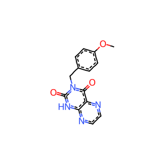 COc1ccc(Cn2c(=O)[nH]c3nccnc3c2=O)cc1